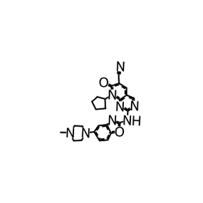 CN1CCN(c2ccc3oc(Nc4ncc5cc(C#N)c(=O)n(C6CCCC6)c5n4)nc3c2)CC1